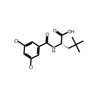 CC(C)(C)C[C@H](NC(=O)c1cc(Cl)cc(Cl)c1)C(=O)O